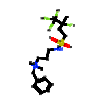 CC(F)(CCS(=O)(=O)NCCC[N+](C)(C)Cc1ccccc1)C(F)(F)F